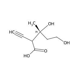 C#CC(C(=O)O)[C@](C)(O)CCO